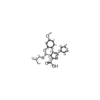 COc1ccc2c(c1)OC(SCC(C)C)c1c(C(=O)O)nn(-c3ccsc3)c1-2